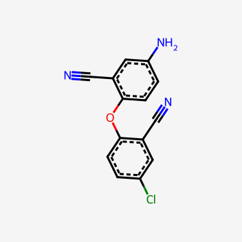 N#Cc1cc(N)ccc1Oc1ccc(Cl)cc1C#N